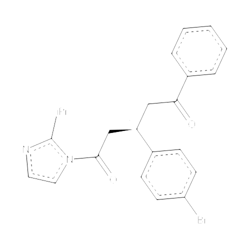 CC(C)c1nccn1C(=O)C[C@@H](CC(=O)c1ccccc1)c1ccc(Br)cc1